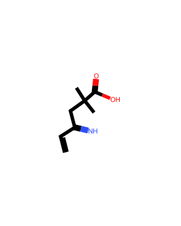 C=CC(=N)CC(C)(C)C(=O)O